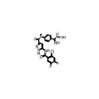 CN(C(=O)c1cc(NC(=O)c2cc(F)c(F)cc2Cl)[nH]n1)c1ccc(C(=N)NO)cc1